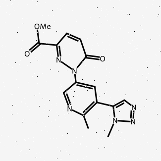 COC(=O)c1ccc(=O)n(-c2cnc(C)c(-c3cnnn3C)c2)n1